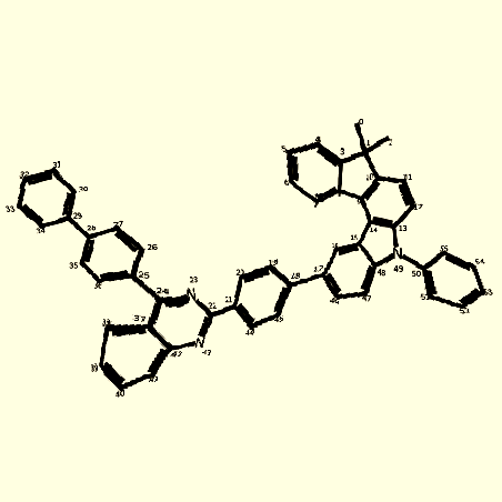 CC1(C)c2ccccc2-c2c1ccc1c2c2cc(-c3ccc(-c4nc(-c5ccc(-c6ccccc6)cc5)c5ccccc5n4)cc3)ccc2n1-c1ccccc1